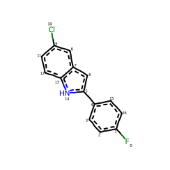 Fc1ccc(-c2cc3cc(Cl)ccc3[nH]2)cc1